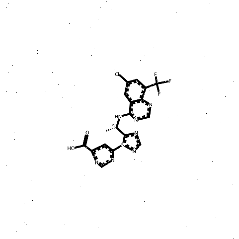 C[C@H](Nc1ncnc2c(C(F)(F)F)cc(Cl)cc12)c1ncnn1-c1cc(C(=O)O)ncn1